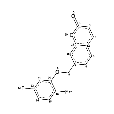 O=c1ccc2ccc(COc3cc(F)ccc3F)cc2o1